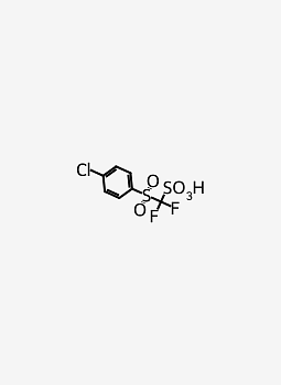 O=S(=O)(O)C(F)(F)S(=O)(=O)c1ccc(Cl)cc1